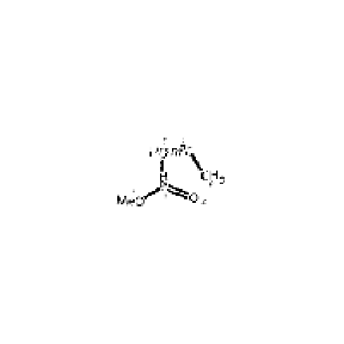 CCCC.CO[PH](=O)O